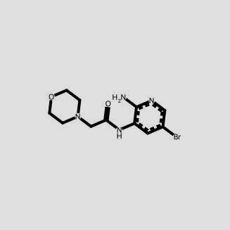 Nc1ncc(Br)cc1NC(=O)CN1CCOCC1